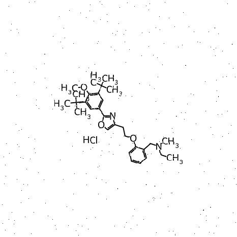 CCN(C)Cc1ccccc1OCCc1coc(-c2cc(C(C)(C)C)c(OC)c(C(C)(C)C)c2)n1.Cl